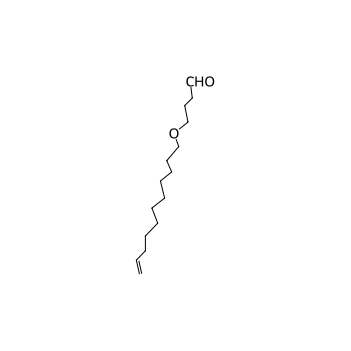 C=CCCCCCCCCCOCCCC=O